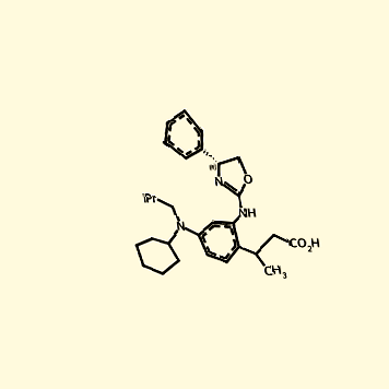 CC(C)CN(c1ccc(C(C)CC(=O)O)c(NC2=N[C@H](c3ccccc3)CO2)c1)C1CCCCC1